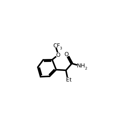 CCC(C(N)=O)c1ccccc1OC(F)(F)F